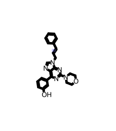 Oc1cccc(-c2nc(N3CCOCC3)nc3c2ncn3C/C=C/c2ccccc2)c1